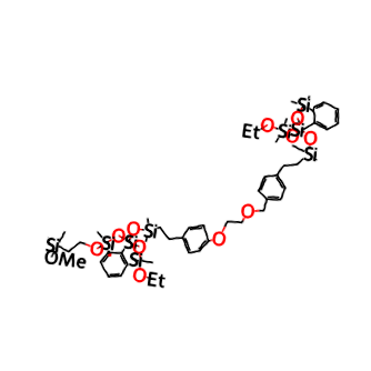 CCO[Si](C)(C)O[Si](O[Si](C)(C)C)(O[Si](C)(C)CCc1ccc(COCCOc2ccc(CC[Si](C)(C)O[Si](O[Si](C)(C)OCC)(O[Si](C)(C)OCC[Si](C)(C)OC)c3ccccc3)cc2)cc1)c1ccccc1